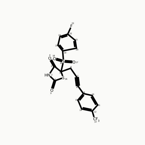 O=C1NC(=O)C(CC#Cc2ccc(C(F)(F)F)cc2)(S(=O)(=O)c2ccc(F)cc2)S1